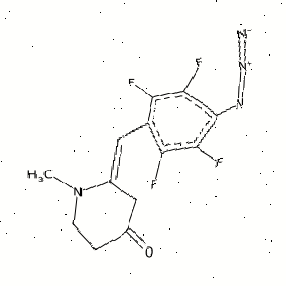 CN1CCC(=O)CC1=Cc1c(F)c(F)c(N=[N+]=[N-])c(F)c1F